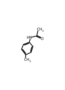 CC(=O)Nc1[c]cc(C)cc1